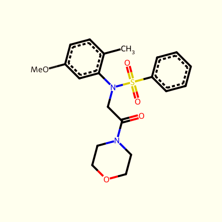 COc1ccc(C)c(N(CC(=O)N2CCOCC2)S(=O)(=O)c2ccccc2)c1